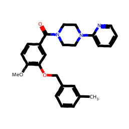 COc1ccc(C(=O)N2CCN(c3ccccn3)CC2)cc1OCc1cccc(C)c1